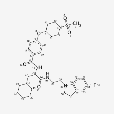 CS(=O)(=O)N1CCC(Oc2ccc(C(=O)NC(CC3CCCCC3)C(=O)NCCN3CCc4cc(F)ccc43)cc2)CC1